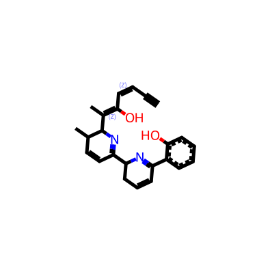 C#C/C=C\C(O)=C(/C)C1N=C(C2CC=CC(c3ccccc3O)=N2)C=CC1C